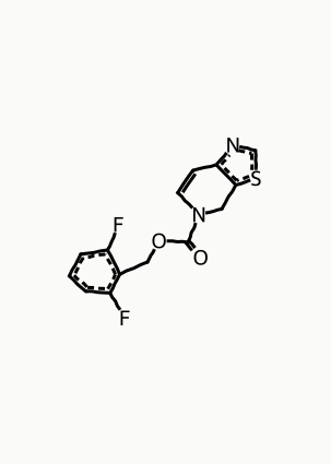 O=C(OCc1c(F)cccc1F)N1C=Cc2ncsc2C1